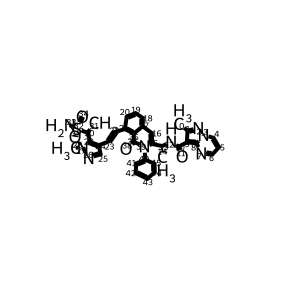 Cc1nn2cccnc2c1C(=O)N[C@H](C)c1cc2cccc(C#Cc3cnn(C)c3C(C)S(N)(=O)=O)c2c(=O)n1-c1ccccc1